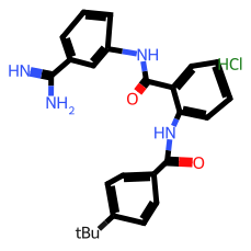 CC(C)(C)c1ccc(C(=O)Nc2ccccc2C(=O)Nc2cccc(C(=N)N)c2)cc1.Cl